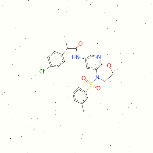 Cc1cccc(S(=O)(=O)N2CCOc3ncc(NC(=O)C(C)c4ccc(Cl)cc4)cc32)c1